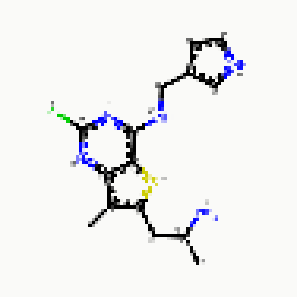 Cc1c(C[C@H](C)N)sc2c(NCc3cc[nH]c3)nc(Cl)nc12